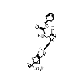 O=C(Nc1c(Cl)noc1C#Cc1nc2nc(C3(C(=O)O)CC3)sc2s1)OCc1ccccc1